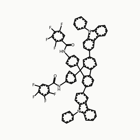 O=C(Nc1ccc(C2(c3ccc(NC(=O)c4cc(F)c(F)c(F)c4F)cc3)c3cc(-c4ccc5c(c4)c4ccccc4n5-c4ccccc4)ccc3-c3ccc(-c4ccc5c(c4)c4ccccc4n5-c4ccccc4)cc32)cc1)c1cc(F)c(F)c(F)c1F